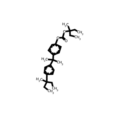 CCC(C)(CC)OC(=O)Oc1ccc(C(C)(C)c2ccc(C(C)(CC)CC)cc2)cc1